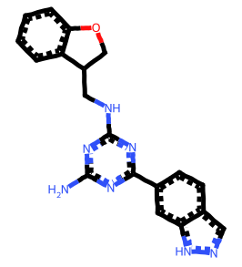 Nc1nc(NCC2COc3ccccc32)nc(-c2ccc3cn[nH]c3c2)n1